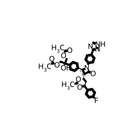 CC(=O)OCC(O)(COC(C)=O)c1ccc([C@@H]2[C@@H](CC[C@H](OC(C)=O)c3ccc(F)cc3)C(=O)N2c2ccc(-c3nc[nH]n3)cc2)cc1